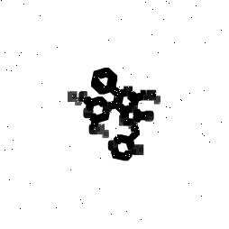 CC1CN(c2c(-c3ccccc3)nc(N)n3c(=O)n(C[C@@H]4COCCN4)nc23)CC(C)O1